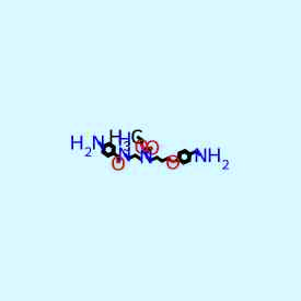 CCOC(=O)N(CCCCOc1ccc(CN)cc1)CCCNC(=O)c1ccc(N)cc1